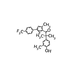 Cc1cc(C(C)(C)C(=O)c2sc(-c3ccc(C(F)(F)F)cc3)cc2C)ccc1O